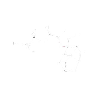 C=C(C)C(=O)OC(C)C(=O)OC1(CC)C2CC3CC(C2)CC1C3